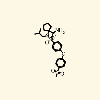 CC(C)CN(C1(C(N)=O)CCCC1)S(=O)(=O)c1ccc(Oc2ccc(S(C)(=O)=O)cc2)cc1